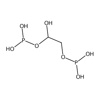 OC(COP(O)O)OP(O)O